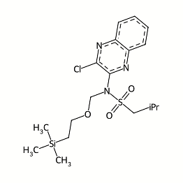 CC(C)CS(=O)(=O)N(COCC[Si](C)(C)C)c1nc2ccccc2nc1Cl